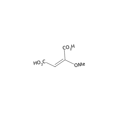 COC(=CC(=O)O)C(=O)O